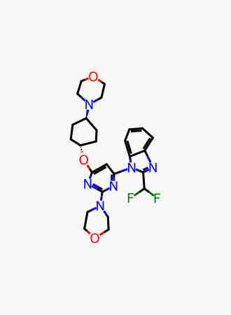 FC(F)c1nc2ccccc2n1-c1cc(O[C@H]2CC[C@H](N3CCOCC3)CC2)nc(N2CCOCC2)n1